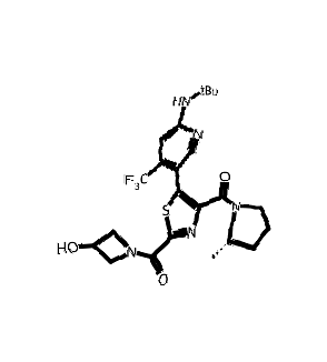 C[C@H]1CCCN1C(=O)c1nc(C(=O)N2CC(O)C2)sc1-c1cnc(NC(C)(C)C)cc1C(F)(F)F